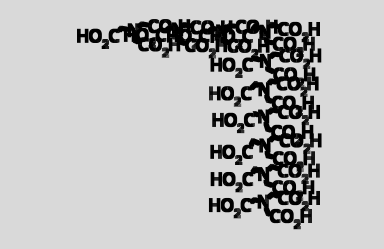 O=C(O)CN(CC(=O)O)CC(=O)O.O=C(O)CN(CC(=O)O)CC(=O)O.O=C(O)CN(CC(=O)O)CC(=O)O.O=C(O)CN(CC(=O)O)CC(=O)O.O=C(O)CN(CC(=O)O)CC(=O)O.O=C(O)CN(CC(=O)O)CC(=O)O.O=C(O)CN(CC(=O)O)CC(=O)O.O=C(O)CN(CC(=O)O)CC(=O)O.O=C(O)CN(CC(=O)O)CC(=O)O.O=C(O)CN(CC(=O)O)CC(=O)O